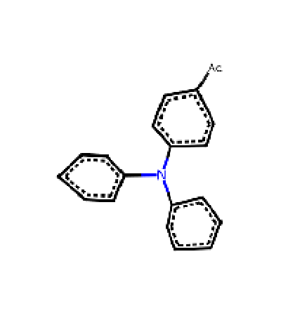 CC(=O)c1ccc(N(c2ccccc2)c2ccccc2)cc1